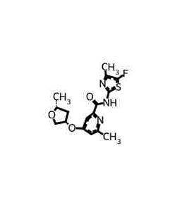 Cc1cc(O[C@H]2CO[C@H](C)C2)cc(C(=O)Nc2nc(C)c(F)s2)n1